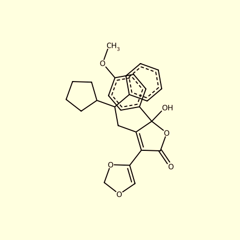 COc1ccc(C2(O)OC(=O)C(C3=COCO3)=C2CC(c2ccccc2)C2CCCC2)cc1